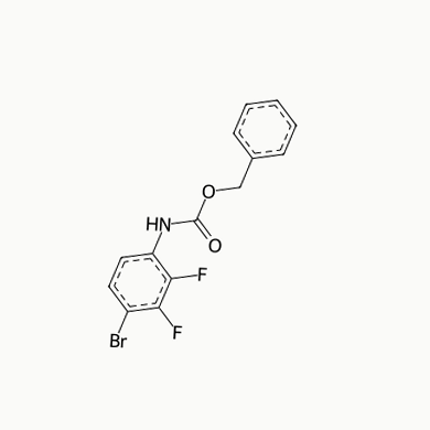 O=C(Nc1ccc(Br)c(F)c1F)OCc1ccccc1